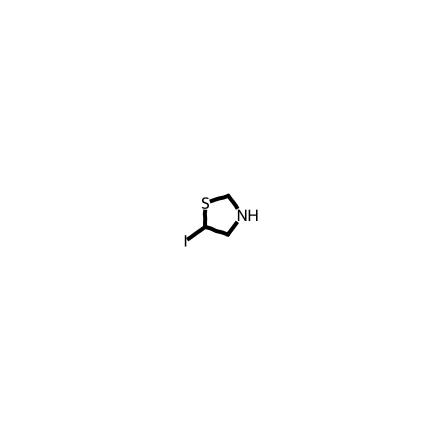 IC1CNCS1